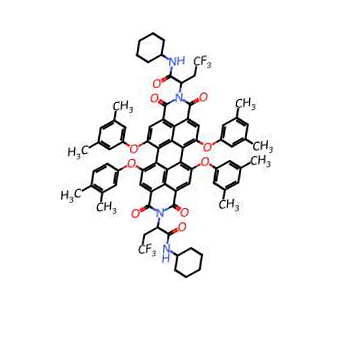 Cc1cc(C)cc(Oc2cc3c4c(cc(Oc5cc(C)cc(C)c5)c5c6c(Oc7ccc(C)c(C)c7)cc7c8c(cc(Oc9cc(C)cc(C)c9)c(c2c45)c86)C(=O)N(C(CC(F)(F)F)C(=O)NC2CCCCC2)C7=O)C(=O)N(C(CC(F)(F)F)C(=O)NC2CCCCC2)C3=O)c1